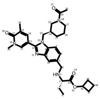 CC[C@H](NCc1ccc2c(c1)nc(-c1cc(C)c(=O)n(C)c1)n2C[C@@H]1CCCN(C(C)=O)C1)C(=O)OC1CCC1